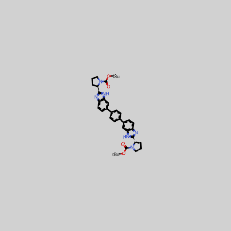 CC(C)(C)OC(=O)N1CCC[C@@H]1c1nc2ccc(-c3ccc(-c4ccc5nc([C@@H]6CCCN6C(=O)OC(C)(C)C)[nH]c5c4)cc3)cc2[nH]1